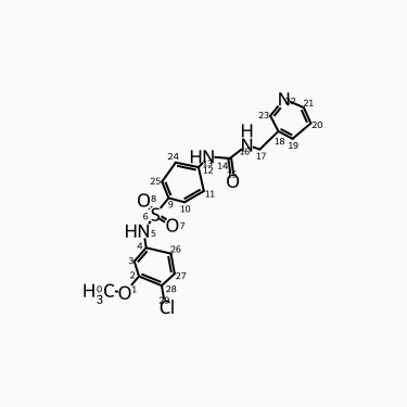 COc1cc(NS(=O)(=O)c2ccc(NC(=O)NCc3cccnc3)cc2)ccc1Cl